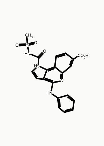 CS(=O)(=O)NC(=O)[SH]1C=Cc2c(Nc3ccccc3)nc3cc(C(=O)O)ccc3c21